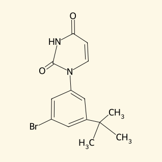 CC(C)(C)c1cc(Br)cc(-n2ccc(=O)[nH]c2=O)c1